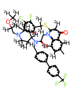 [2H]c1c(C)c([2H])c2c(=O)c([2H])c(SC([2H])([2H])c3cccc(F)c3F)n(CC(=O)N(Cc3ccc(-c4ccc(C(F)(F)F)cc4)cc3)C3([2H])C([2H])([2H])C([2H])([2H])N(CC([2H])([2H])OC([2H])([2H])[2H])C([2H])([2H])C3([2H])[2H])c2c1[2H]